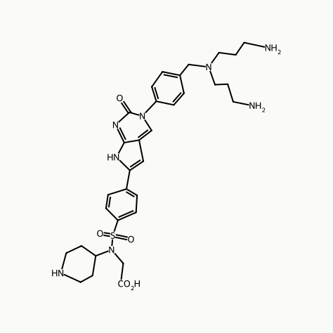 NCCCN(CCCN)Cc1ccc(-n2cc3cc(-c4ccc(S(=O)(=O)N(CC(=O)O)C5CCNCC5)cc4)[nH]c3nc2=O)cc1